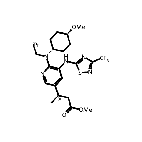 COC(=O)C[C@@H](C)c1cnc(N(CC(C)C)[C@H]2CC[C@H](OC)CC2)c(Nc2nc(C(F)(F)F)ns2)c1